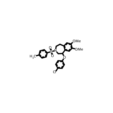 COc1cc2c(cc1OC)C(Oc1ccc(Cl)cc1)CN(S(=O)(=O)c1ccc(C)cc1)CC2